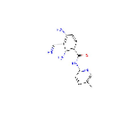 Cc1ccc(NC(=O)c2ccc(N)c(C=N)c2N)nc1